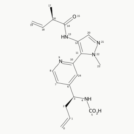 C=CC[C@H](NC(=O)O)c1ccnc(-c2c(NC(=O)[C@H](C)C=C)cnn2C)c1